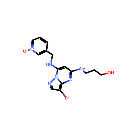 [O-][n+]1cccc(CNc2cc(NCCCO)nc3c(Br)cnn23)c1